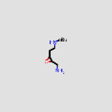 CCCCNCCC1OC1CN